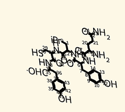 CC(C)CC(NC(=O)C(Cc1ccc(O)cc1)NC(=O)C(N)CCC(N)=O)C(=O)NC(CS)C(=O)NC([C]=O)Cc1ccc(O)cc1